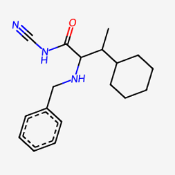 CC(C1CCCCC1)C(NCc1ccccc1)C(=O)NC#N